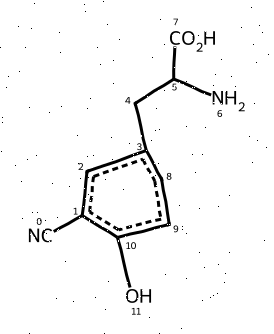 N#Cc1cc(CC(N)C(=O)O)ccc1O